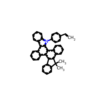 C=Cc1ccc(-n2c3ccccc3c3c4ccccc4c4c5c(c6ccccc6c4c32)C(C)(C)c2ccccc2-5)cc1